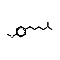 COc1ccc(CCCCN(C)C)cc1